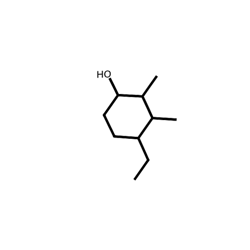 CCC1CCC(O)C(C)C1C